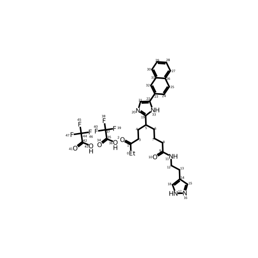 CCC(=O)CCC(CCCC(=O)NCCc1cn[nH]c1)c1ncc(-c2ccc3ccccc3c2)[nH]1.O=C(O)C(F)(F)F.O=C(O)C(F)(F)F